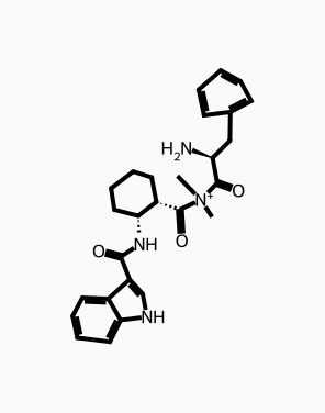 C[N+](C)(C(=O)[C@H]1CCCC[C@H]1NC(=O)c1c[nH]c2ccccc12)C(=O)[C@@H](N)Cc1ccccc1